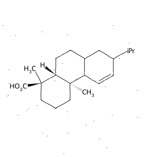 CC(C)C1C=CC2C(CC[C@H]3[C@](C)(C(=O)O)CCC[C@]23C)C1